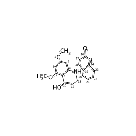 COc1cc2c(c(OC)c1)C(O)=CCN2.O=c1ccc2ccccc2o1